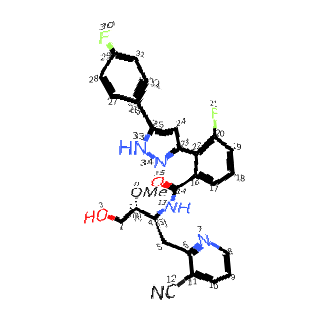 CO[C@@H](CO)[C@H](Cc1ncccc1C#N)NC(=O)c1cccc(F)c1-c1cc(-c2ccc(F)cc2)[nH]n1